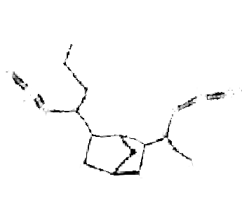 CCCC(N=C=O)C1CC2CC(C(C)N=C=O)C1C2